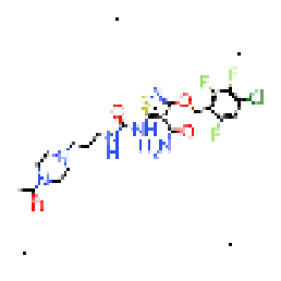 CC(=O)N1CCN(CCCNC(=O)Nc2snc(OCc3c(F)cc(Cl)c(F)c3F)c2C(N)=O)CC1